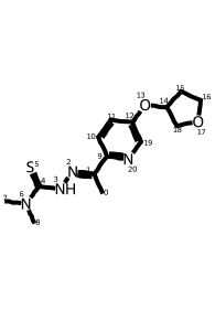 C/C(=N\NC(=S)N(C)C)c1ccc(OC2CCOC2)cn1